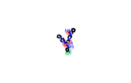 O=C(Nc1ccc(Cl)c(C(F)(F)F)c1)N[C@@H](CC(=O)N1CCC(N2Cc3ccccc3NC2=O)CC1)C(=O)N1CCC(N2CCCCC2)CC1